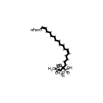 CCCCC/C=C\CCCCCCCCC/C=C\CCCCC(O)(C[N+](C)(C)C)P(=O)(O)O